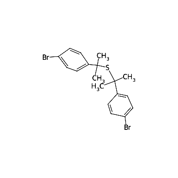 CC(C)(SC(C)(C)c1ccc(Br)cc1)c1ccc(Br)cc1